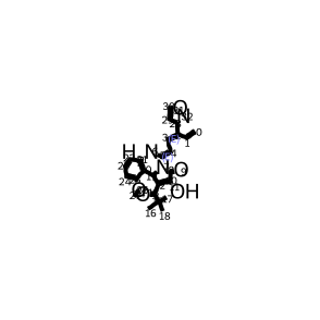 C=C/C(=C\C=C(/N)N1C(=O)C(O)=C(C(=O)C(C)(C)C)C1c1ccccc1OC)c1ccon1